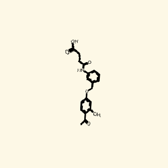 CC(=O)c1ccc(OCc2cccc(NC(=O)CCC(=O)O)c2)cc1O